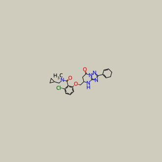 CN(CC1CC1)C(=O)c1c(Cl)cccc1OCC1CC(=O)n2nc(C3=CCCC=C3)nc2N1